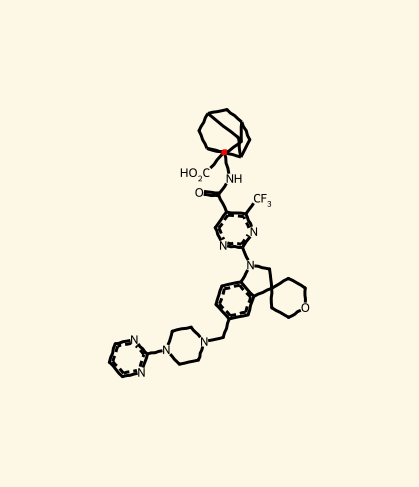 O=C(NC1(C(=O)O)C2CCC3CC(C2)CC1C3)c1cnc(N2CC3(CCOCC3)c3cc(CN4CCN(c5ncccn5)CC4)ccc32)nc1C(F)(F)F